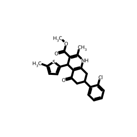 COC(=O)C1=C(C)NC2=C(C(=O)CC(c3ccccc3Cl)C2)C1c1ccc(C)s1